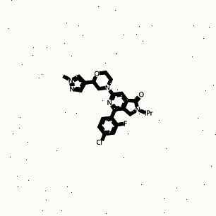 CC(C)N1Cc2c(cc(N3CCOC(c4cnn(C)c4)C3)nc2-c2ccc(Cl)cc2F)C1=O